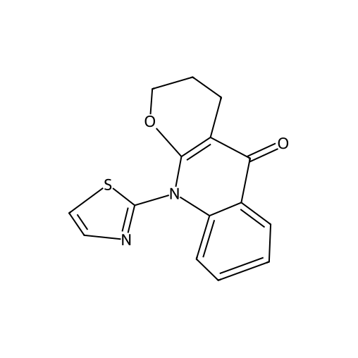 O=c1c2c(n(-c3nccs3)c3ccccc13)OCCC2